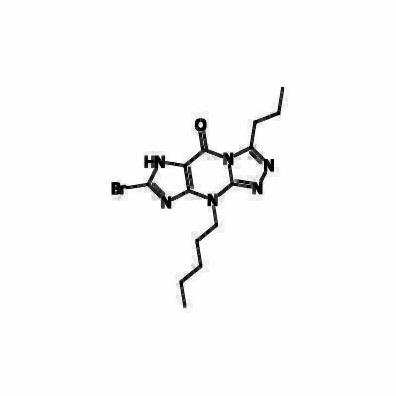 CCCCCn1c2nc(Br)[nH]c2c(=O)n2c(CCC)nnc12